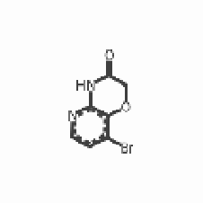 O=C1COc2c(Br)ccnc2N1